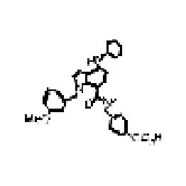 COc1cccc(Cn2ccc3c(Nc4ccccc4)ccc(C(=O)NCc4ccc(C(=O)O)cc4)c32)c1